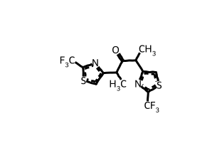 CC(C(=O)C(C)c1csc(C(F)(F)F)n1)c1csc(C(F)(F)F)n1